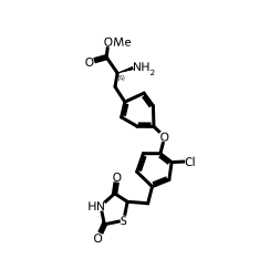 COC(=O)[C@@H](N)Cc1ccc(Oc2ccc(CC3SC(=O)NC3=O)cc2Cl)cc1